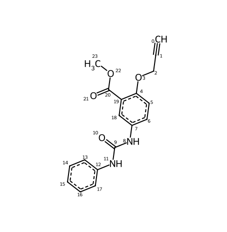 C#CCOc1ccc(NC(=O)Nc2ccccc2)cc1C(=O)OC